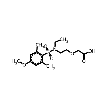 CCN(CCOCC(=O)O)S(=O)(=O)c1c(C)cc(OC)cc1C